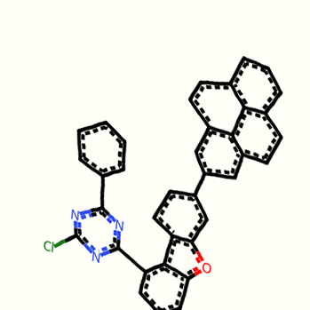 Clc1nc(-c2ccccc2)nc(-c2cccc3oc4cc(-c5cc6ccc7cccc8ccc(c5)c6c78)ccc4c23)n1